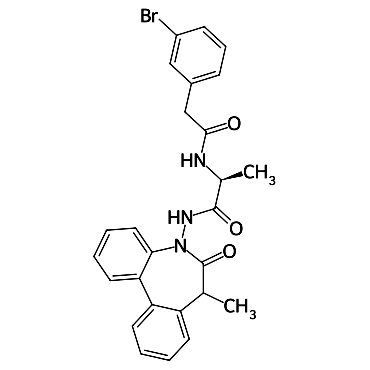 CC1C(=O)N(NC(=O)[C@H](C)NC(=O)Cc2cccc(Br)c2)c2ccccc2-c2ccccc21